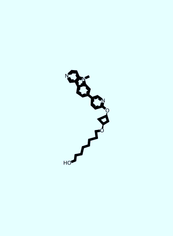 Cn1c2ccncc2c2ccc(-c3ccc(O[C@H]4C[C@H](OCCCCCCCCO)C4)nc3)cc21